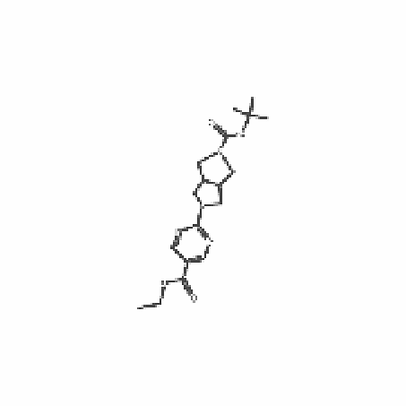 CCOC(=O)c1cnc(N2CC3CN(C(=O)OC(C)(C)C)CC3C2)nc1